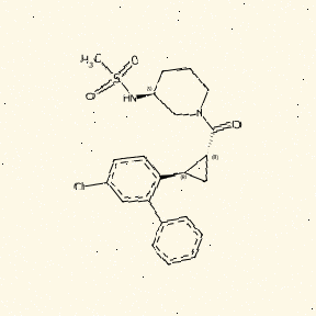 CS(=O)(=O)N[C@H]1CCCN(C(=O)[C@@H]2C[C@H]2c2ccc(Cl)cc2-c2ccccc2)C1